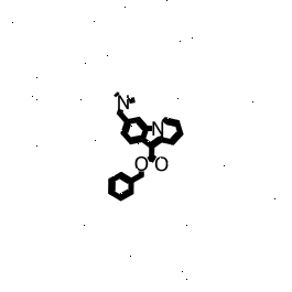 CN(C)Cc1ccc2c(C(=O)OCc3ccccc3)c3ccccn3c2c1